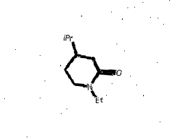 CCN1CCC(C(C)C)CC1=O